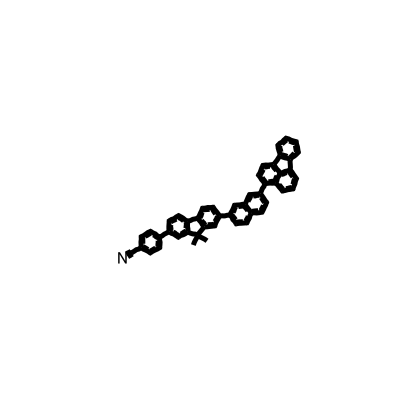 CC1(C)c2cc(-c3ccc(C#N)cc3)ccc2-c2ccc(-c3ccc4ccc(-c5ccc6c7c(cccc57)-c5ccccc5-6)cc4c3)cc21